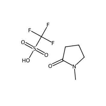 CN1CCCC1=O.O=S(=O)(O)C(F)(F)F